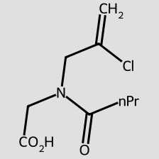 C=C(Cl)CN(CC(=O)O)C(=O)CCC